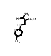 CCOC(=O)/C(=C/Nc1ccc(C(F)(F)F)cn1)C(=N)N